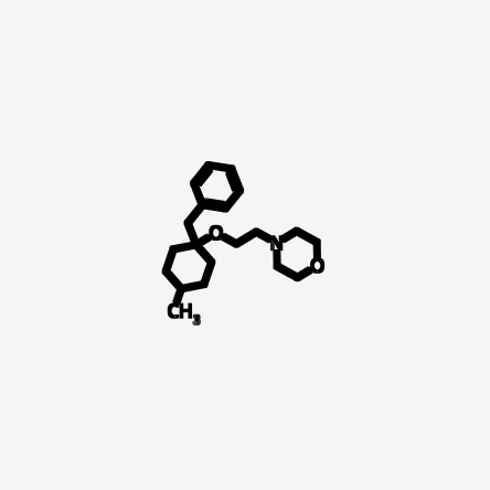 CC1CCC(Cc2ccccc2)(OCCN2CCOCC2)CC1